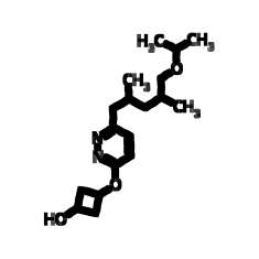 CC(COC(C)C)CC(C)Cc1ccc(OC2CC(O)C2)nn1